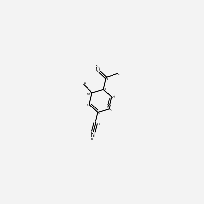 CC(=O)C1C=CC(C#N)=CC1C